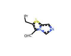 CC(C)Cc1sc2cncn2c1C=O